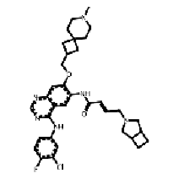 CN1CCC2(CC1)CC(COc1cc3ncnc(Nc4ccc(F)c(Cl)c4)c3cc1NC(=O)/C=C/CN1CC3CCC3C1)C2